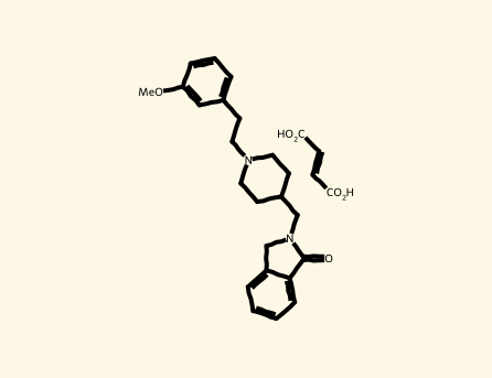 COc1cccc(CCN2CCC(CN3Cc4ccccc4C3=O)CC2)c1.O=C(O)C=CC(=O)O